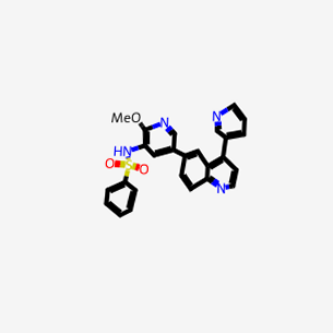 COc1ncc(-c2ccc3nccc(-c4cccnc4)c3c2)cc1NS(=O)(=O)c1ccccc1